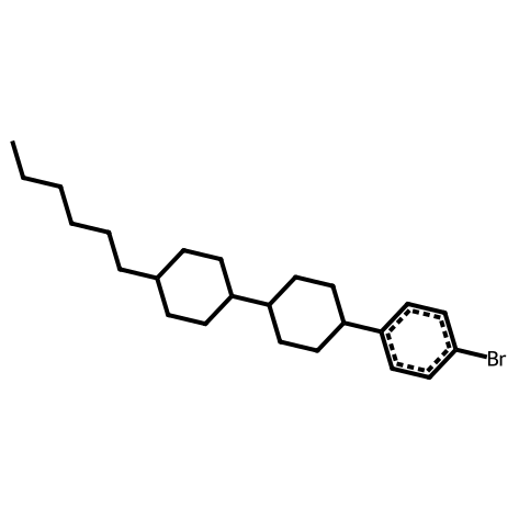 CCCCCCC1CCC(C2CCC(c3ccc(Br)cc3)CC2)CC1